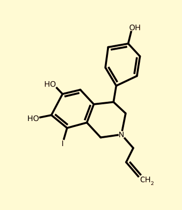 C=CCN1Cc2c(cc(O)c(O)c2I)C(c2ccc(O)cc2)C1